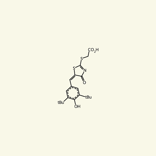 CC(C)(C)c1cc(C=C2SC(SCC(=O)O)=NC2=O)cc(C(C)(C)C)c1O